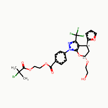 CC(C)(Br)C(=O)OCCOC(=O)c1ccc(-n2nc(C(F)(F)F)c3c2O[C@@H](OCCO)C[C@@H]3c2ccco2)cc1